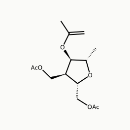 C=C(C)O[C@@H]1[C@H](COC(C)=O)[C@@H](COC(C)=O)O[C@H]1C